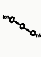 CCCCCCCCCc1ccc(C#Cc2ccc(C#Cc3ccc(CCCCCCCCC)cc3)cc2)cc1